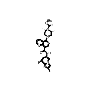 Cc1cn2cc(NC(=O)c3cnc(N4C[C@@H](C)N(C(=O)OC(C)(C)C)[C@@H](C)C4)c4cccnc34)cc(F)c2n1